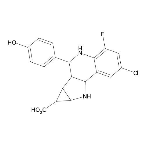 O=C(O)C1C2NC3c4cc(Cl)cc(F)c4NC(c4ccc(O)cc4)C3C21